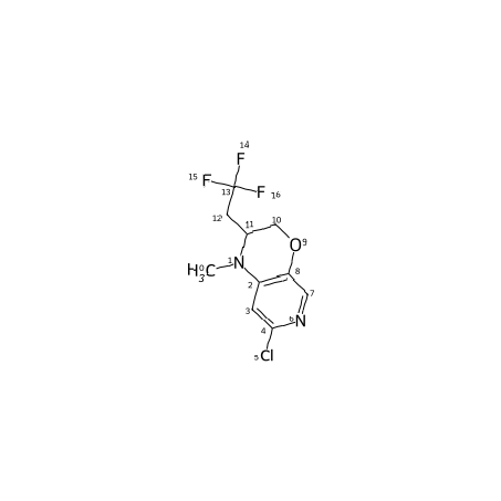 CN1c2cc(Cl)ncc2OCC1CC(F)(F)F